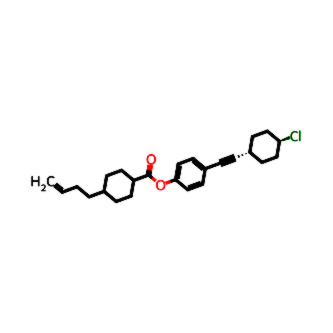 C=CCCC1CCC(C(=O)Oc2ccc(C#C[C@H]3CC[C@H](Cl)CC3)cc2)CC1